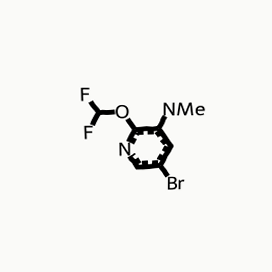 CNc1cc(Br)cnc1OC(F)F